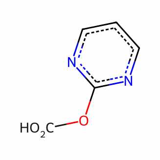 O=C(O)Oc1ncccn1